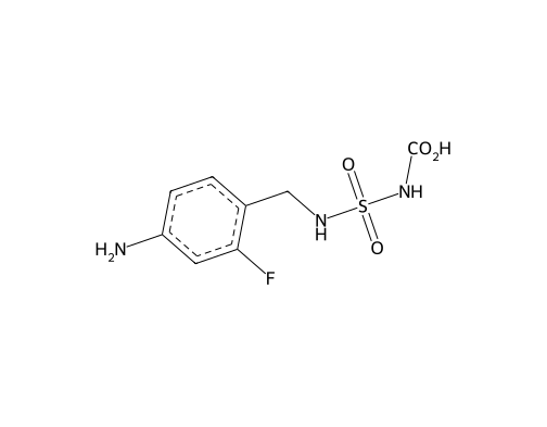 Nc1ccc(CNS(=O)(=O)NC(=O)O)c(F)c1